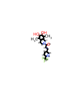 Cc1c(O)c(O)c(C)c2c1CCN(C(=O)/C=C/c1ccc(C(F)(F)F)nc1)C2